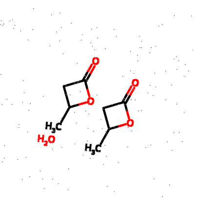 CC1CC(=O)O1.CC1CC(=O)O1.O